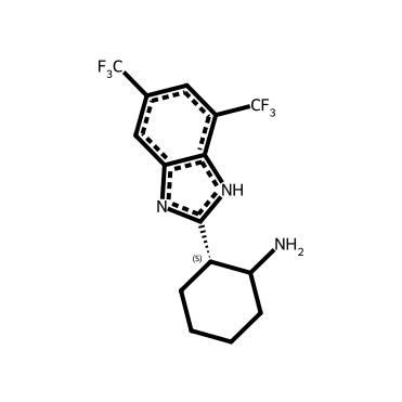 NC1CCCC[C@@H]1c1nc2cc(C(F)(F)F)cc(C(F)(F)F)c2[nH]1